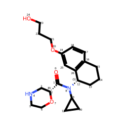 O=C([C@H]1CNCCO1)N(C1CC1)[C@H]1CCCc2ccc(OCCCO)cc21